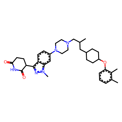 Cc1cccc(OC2CCC(CC(C)CN3CCN(c4ccc5c(C6CCC(=O)NC6=O)nn(C)c5c4)CC3)CC2)c1C